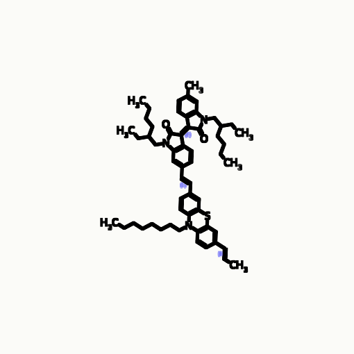 C/C=C/c1ccc2c(c1)Sc1cc(/C=C/c3ccc4c(c3)N(CC(CC)CCCC)C(=O)/C4=C3/C(=O)N(CC(CC)CCCC)c4cc(C)ccc43)ccc1N2CCCCCCCC